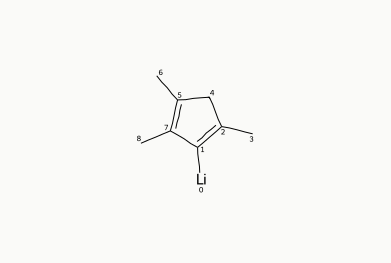 [Li][C]1=C(C)CC(C)=C1C